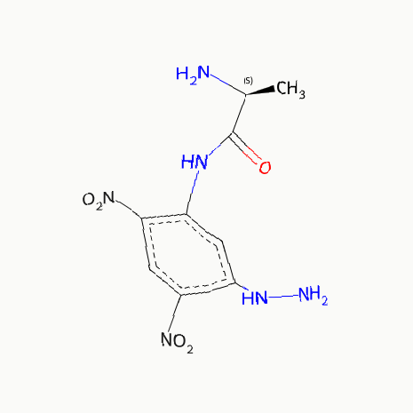 C[C@H](N)C(=O)Nc1cc(NN)c([N+](=O)[O-])cc1[N+](=O)[O-]